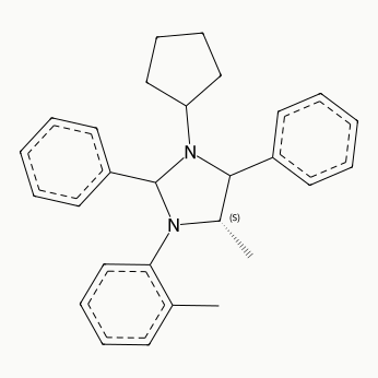 Cc1ccccc1N1C(c2ccccc2)N(C2CCCC2)C(c2ccccc2)[C@@H]1C